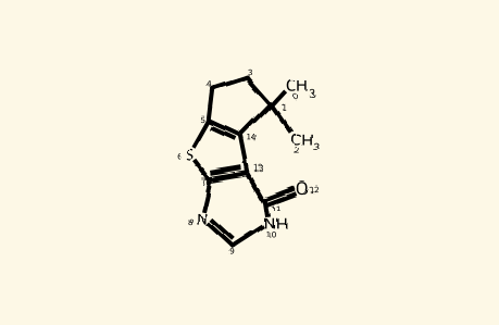 CC1(C)CCc2sc3nc[nH]c(=O)c3c21